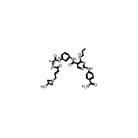 CCCNc1nc(Nc2ccc(C(N)=O)cc2)ncc1C(=O)Nc1cccc(NC(=O)[C@H](C)N(C)C(=O)/C=C/CN2CC(O)C2)c1